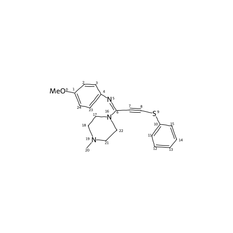 COc1ccc(N=C(C#CSc2ccccc2)N2CCN(C)CC2)cc1